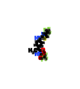 C[C@H](C(=O)NS(=O)(=O)C(F)(F)F)c1ccc(Nc2nc(C(F)(F)F)cs2)cc1